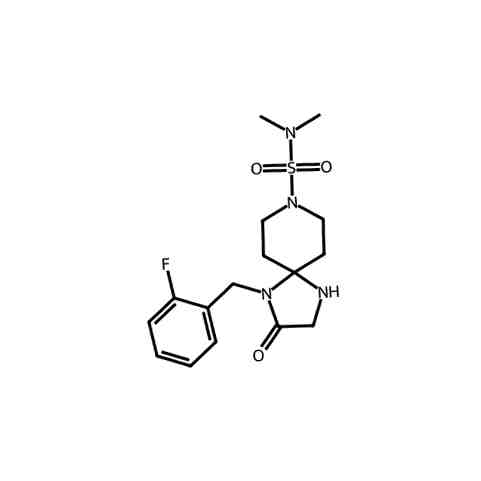 CN(C)S(=O)(=O)N1CCC2(CC1)NCC(=O)N2Cc1ccccc1F